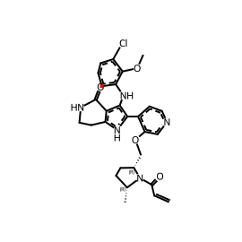 C=CC(=O)N1[C@@H](COc2cnccc2-c2[nH]c3c(c2Nc2cccc(Cl)c2OC)C(=O)NCC3)CC[C@H]1C